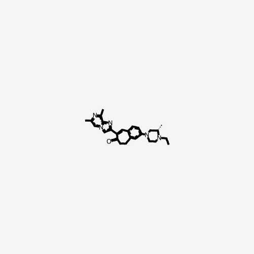 CCN1CCN(c2ccc3c(c2)CCC(=O)C(c2cn4cc(C)nc(C)c4n2)=C3)C[C@@H]1C